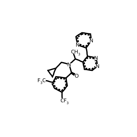 CC(c1ccnnc1-c1ncccn1)N(CC1CC1)C(=O)c1cc(C(F)(F)F)cc(C(F)(F)F)c1